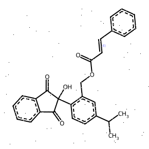 CC(C)c1ccc(C2(O)C(=O)c3ccccc3C2=O)c(COC(=O)/C=C/c2ccccc2)c1